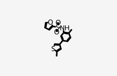 Cc1cc(-c2ccc(C)c(NS(=O)(=O)c3ccco3)c2)cs1